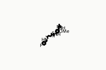 COc1cc(Nc2nc(CC[C@H](C)CNCc3ccc(F)cc3)cs2)ccc1-c1nc(C)c[nH]1